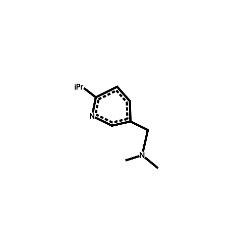 CC(C)c1ccc(CN(C)C)cn1